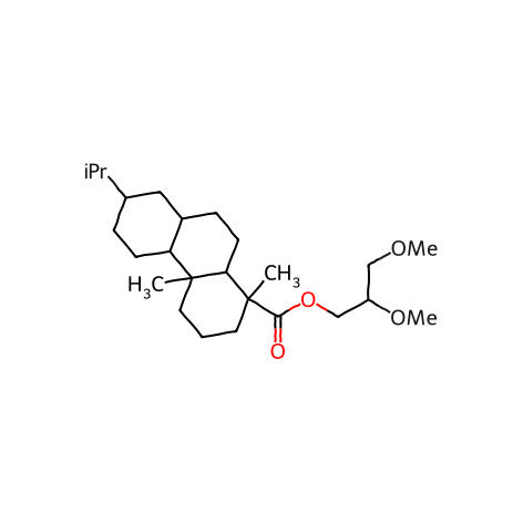 COCC(COC(=O)C1(C)CCCC2(C)C3CCC(C(C)C)CC3CCC12)OC